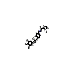 O=C(Cc1ccc(/C=C/C(=O)c2ncc[nH]2)cc1)Nc1cc(F)c(F)c(F)c1